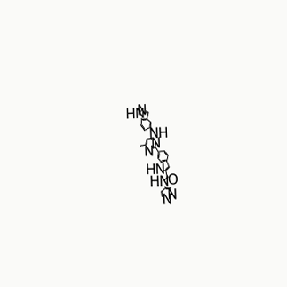 Cc1cc(Nc2ccc3[nH]ncc3c2)nc(-c2ccc3cc(C(=O)Nc4ccnnc4)[nH]c3c2)n1